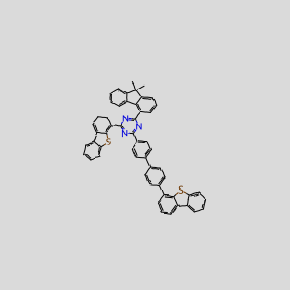 CC1(C)c2ccccc2-c2c(-c3nc(C4=c5sc6ccccc6c5=CCC4)nc(-c4ccc(-c5ccc(-c6cccc7c6sc6ccccc67)cc5)cc4)n3)cccc21